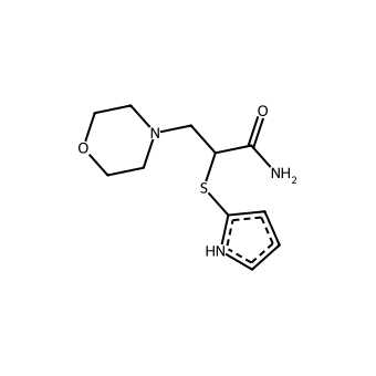 NC(=O)C(CN1CCOCC1)Sc1ccc[nH]1